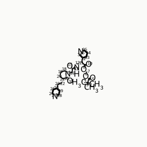 CC(C)(C)C(=O)OCOC(=O)[C@H](CNC(=O)CN1CCC[C@@H](CCc2ccncc2)C1=O)c1cccnc1